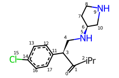 C=C(C(C)C)[C@H](CN[C@H]1CCNC1)c1ccc(Cl)cc1